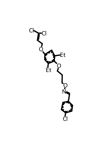 CCc1cc(OCC=C(Cl)Cl)cc(CC)c1OCCCON=Cc1ccc(Cl)cc1